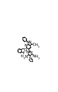 Cc1nn(-c2ccccc2)c2nc(OCc3ccccc3F)c(-c3nc(N)c(N4CCCC4)c(N)n3)cc12